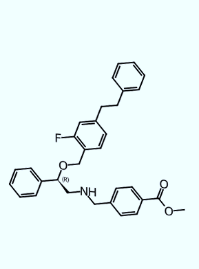 COC(=O)c1ccc(CNC[C@H](OCc2ccc(CCc3ccccc3)cc2F)c2ccccc2)cc1